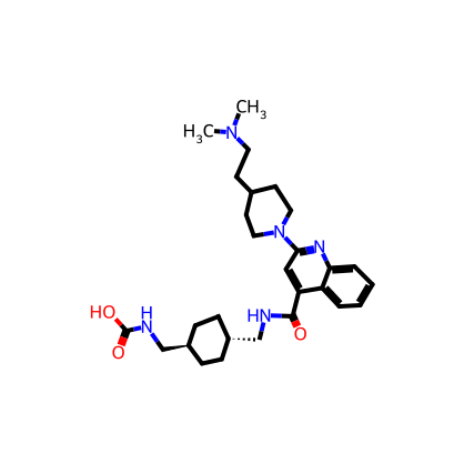 CN(C)CCC1CCN(c2cc(C(=O)NC[C@H]3CC[C@H](CNC(=O)O)CC3)c3ccccc3n2)CC1